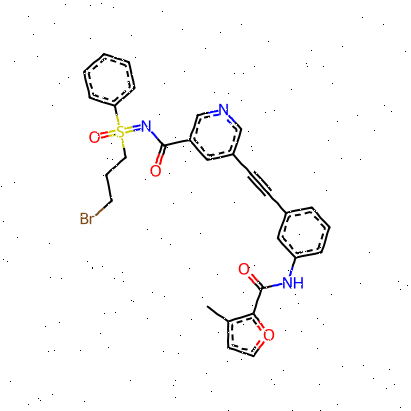 Cc1ccoc1C(=O)Nc1cccc(C#Cc2cncc(C(=O)N=S(=O)(CCCBr)c3ccccc3)c2)c1